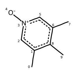 Cc1c[n+]([O-])cc(C)c1C